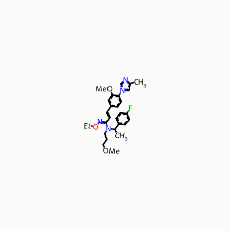 CCON=C(/C=C/c1ccc(-n2cnc(C)c2)c(OC)c1)N(CCCOC)C(C)c1ccc(F)cc1